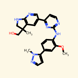 COc1cc(-c2ccnn2C)ccc1Nc1nccc(-c2cnc3c(c2)C(C)(CO)CN3)n1